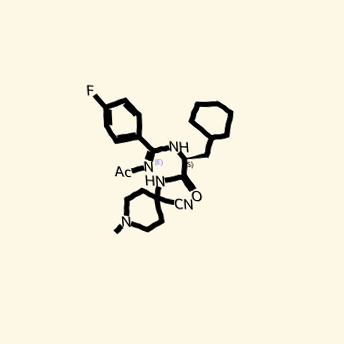 CC(=O)/N=C(/N[C@@H](CC1CCCCC1)C(=O)NC1(C#N)CCN(C)CC1)c1ccc(F)cc1